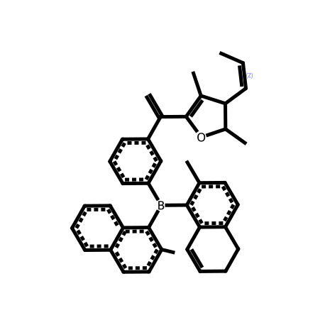 C=C(C1=C(C)C(/C=C\C)C(C)O1)c1cccc(B(c2c(C)ccc3c2C=CCC3)c2c(C)ccc3ccccc23)c1